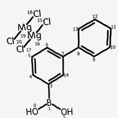 OB(O)c1cccc(-c2ccccc2)c1.[Cl][Mg][Cl].[Cl][Mg][Cl]